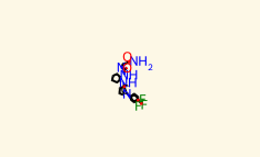 NC(=O)c1cnc(N[C@@H]2CCCC[C@H]2NC2CCCN(c3ccc(C(F)(F)F)cc3)C2)o1